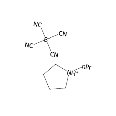 CCC[NH+]1CCCC1.N#C[B-](C#N)(C#N)C#N